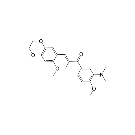 COc1cc2c(cc1/C=C(\C)C(=O)c1ccc(OC)c(N(C)C)c1)OCCO2